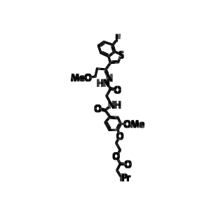 COCC/C(=N\NC(=O)CNC(=O)c1ccc(OCCOC(=O)CC(C)C)c(OC)c1)c1csc2c(F)cccc12